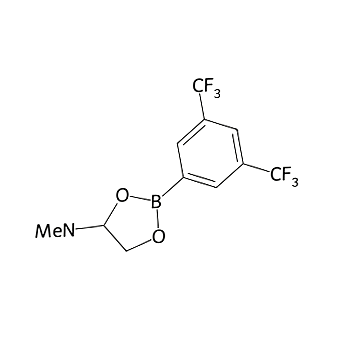 CNC1COB(c2cc(C(F)(F)F)cc(C(F)(F)F)c2)O1